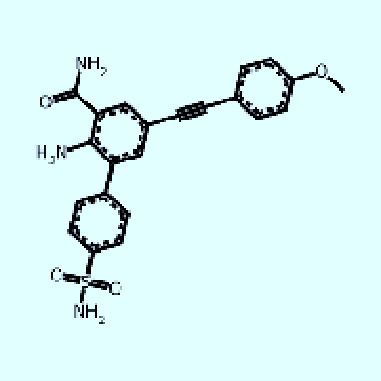 COc1ccc(C#Cc2cc(C(N)=O)c(N)c(-c3ccc(S(N)(=O)=O)cc3)c2)cc1